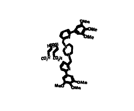 COc1cc(-c2cccc(CN3CCCN(Cc4cccc(-c5cc(OC)c(OC)c(OC)c5)n4)CC3)n2)cc(OC)c1OC.O=C(O)C=CC(=O)O.O=C(O)C=CC(=O)O